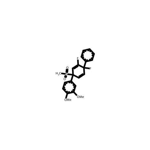 COc1ccc(C2(S(C)(=O)=O)C=CC(F)(c3ccccc3)C(F)=C2)cc1OC